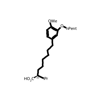 CCCCCOc1cc(CCCCCC[C@H](C(=O)O)C(C)C)ccc1OC